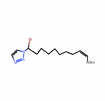 CCCCCCCC/C=C\CCCCCCCC(Br)n1ccnn1